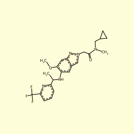 COc1cc2nn(CC(=O)N(C)CC3CC3)cc2cc1NC(C)c1cccc(C(F)(F)F)n1